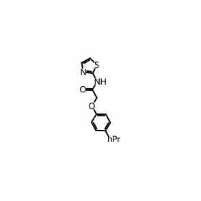 CCCc1ccc(OCC(=O)Nc2nccs2)cc1